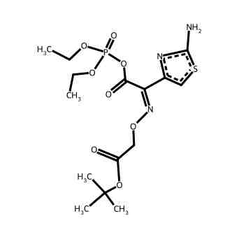 CCOP(=O)(OCC)OC(=O)C(=NOCC(=O)OC(C)(C)C)c1csc(N)n1